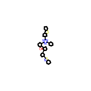 c1ccc(-c2nc(-c3ccc4c(c3)sc3ccccc34)nc(-c3cccc4oc5c(-c6cccc(-c7nc8ccccc8s7)c6)cccc5c34)n2)cc1